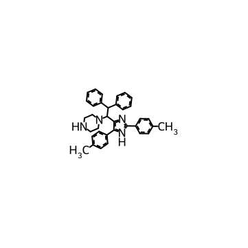 Cc1ccc(-c2nc(C(C(c3ccccc3)c3ccccc3)N3CCNCC3)c(-c3ccc(C)cc3)[nH]2)cc1